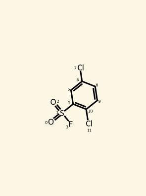 O=S(=O)(F)c1cc(Cl)ccc1Cl